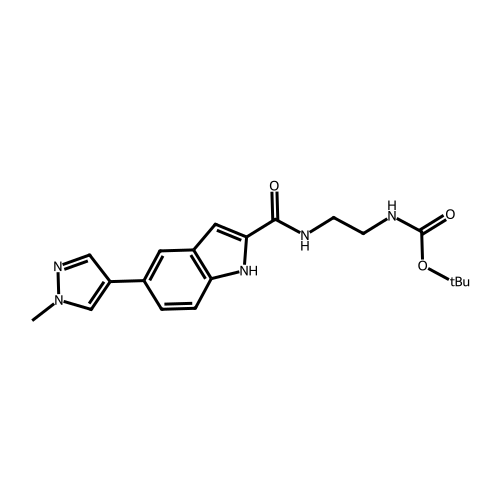 Cn1cc(-c2ccc3[nH]c(C(=O)NCCNC(=O)OC(C)(C)C)cc3c2)cn1